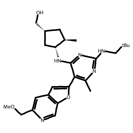 COCc1cc2cc(-c3c(C)nc(NCC(C)(C)C)nc3N[C@@H]3C[C@H](CO)C[C@H]3C)oc2cn1